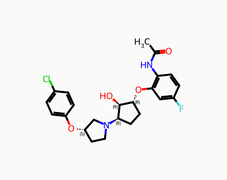 CC(=O)Nc1ccc(F)cc1O[C@@H]1CC[C@@H](N2CC[C@H](Oc3ccc(Cl)cc3)C2)[C@H]1O